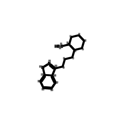 O=C(O)N1CCCCC1CCCc1noc2ccccc12